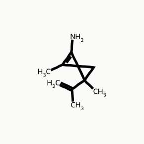 C=C(C)C1(C)CC12C(C)=C2N